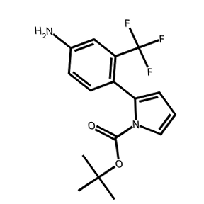 CC(C)(C)OC(=O)n1cccc1-c1ccc(N)cc1C(F)(F)F